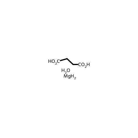 O.O=C(O)CCC(=O)O.[MgH2]